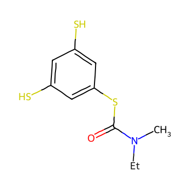 CCN(C)C(=O)Sc1cc(S)cc(S)c1